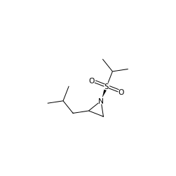 CC(C)CC1C[N@]1S(=O)(=O)C(C)C